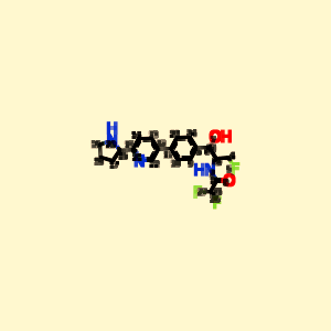 O=C(N[C@H](CF)[C@@H](O)c1ccc(-c2ccc(C3CCCN3)nc2)cc1)C(F)F